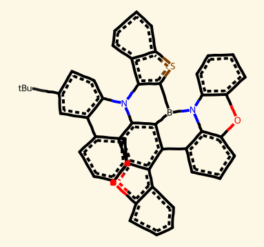 CC(C)(C)c1ccc(N2c3cc4oc5ccccc5c4c4c3B(c3sc5ccccc5c32)N2c3ccccc3Oc3cccc-4c32)c(-c2ccccc2)c1